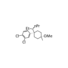 CCC[C@H](CC)[C@]1(c2ccc(Cl)c(Cl)c2)CC[C@@](C)(OC)CC1